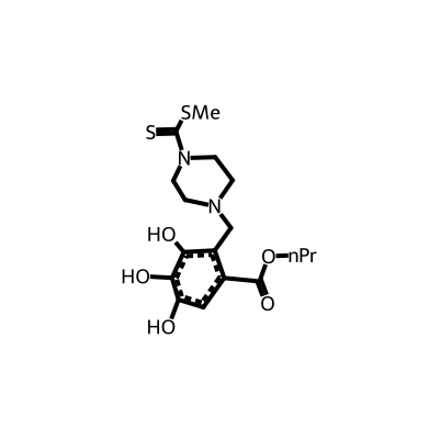 CCCOC(=O)c1cc(O)c(O)c(O)c1CN1CCN(C(=S)SC)CC1